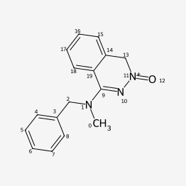 CN(Cc1ccccc1)C1=N[N+](=O)Cc2ccccc21